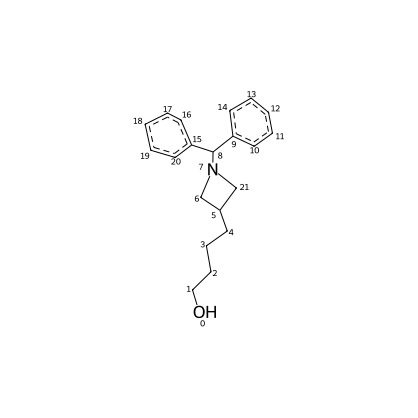 OCCCCC1CN(C(c2ccccc2)c2ccccc2)C1